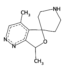 Cc1cnnc2c1C1(CCNCC1)OC2C